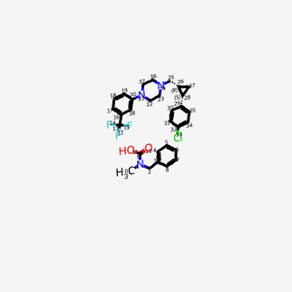 CN(Cc1ccccc1)C(=O)O.FC(F)(F)c1cccc(N2CCN(C[C@@H]3C[C@@H]3c3ccc(Cl)cc3)CC2)c1